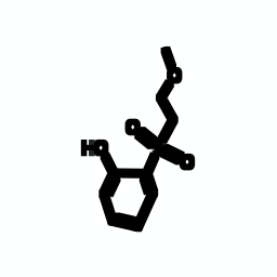 COCCS(=O)(=O)c1ccccc1O